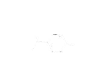 CC(Cl)c1ccc(Cl)cn1